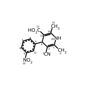 CC1=C(C#N)C(c2cccc([N+](=O)[O-])c2)C(C(=O)O)=C(C)N1